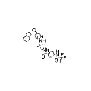 CC(C)(CNC(=O)c1ccc(NC(=O)C(F)(F)F)cc1)CNc1ncc(Cl)c(C2=CCc3ccccc32)n1